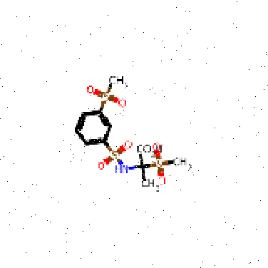 CC(NS(=O)(=O)c1cccc(S(C)(=O)=O)c1)(C(=O)O)S(C)(=O)=O